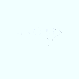 O=c1[nH]ncc2nc(N3CCCCCC3)nc(Nc3ccc(N4CCNCC4)cc3)c12